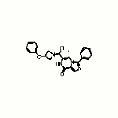 CC(c1cn2c(-c3ccccc3)ncc2c(=O)[nH]1)N1CC(Oc2ccccc2)C1